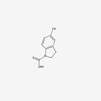 CSC(=S)N1CCc2cc(C#N)ccc21